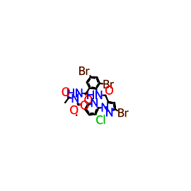 COC(=O)N(NC(=O)c1cc(Br)cc(Br)c1NC(=O)c1cc(Br)nn1-c1ncccc1Cl)C(C)=O